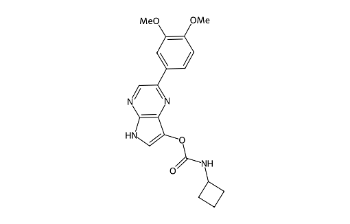 COc1ccc(-c2cnc3[nH]cc(OC(=O)NC4CCC4)c3n2)cc1OC